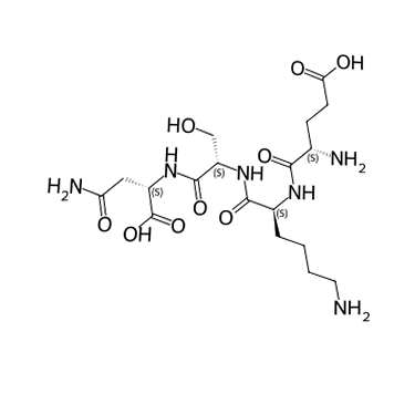 NCCCC[C@H](NC(=O)[C@@H](N)CCC(=O)O)C(=O)N[C@@H](CO)C(=O)N[C@@H](CC(N)=O)C(=O)O